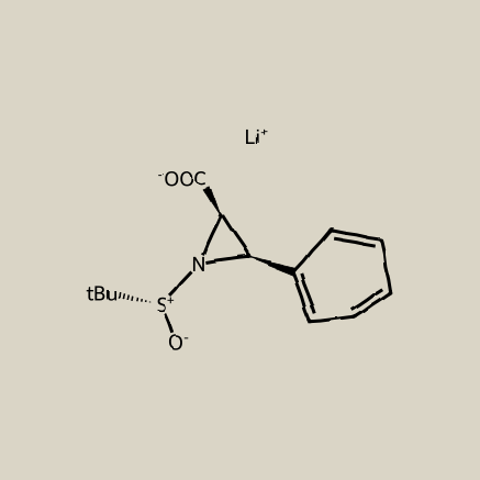 CC(C)(C)[S@@+]([O-])N1[C@H](c2ccccc2)[C@@H]1C(=O)[O-].[Li+]